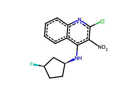 O=[N+]([O-])c1c(Cl)nc2ccccc2c1N[C@H]1CC[C@@H](F)C1